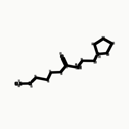 O=C(CCCCO[N+](=O)[O-])NCCN1CCCC1